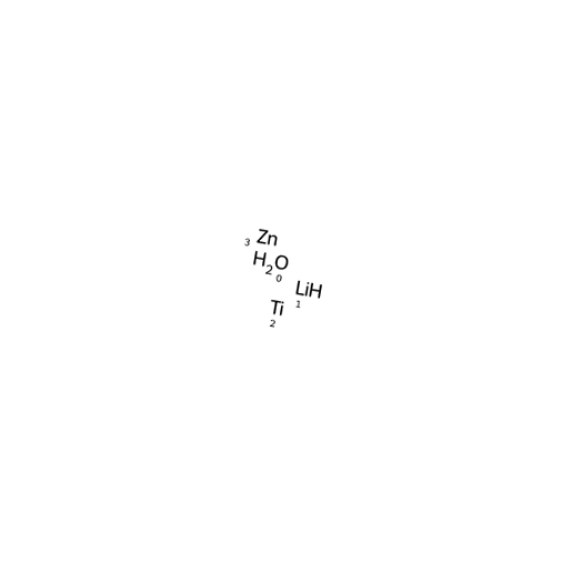 O.[LiH].[Ti].[Zn]